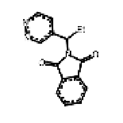 CCC(c1ccnnc1)N1C(=O)c2ccccc2C1=O